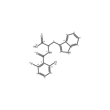 O=C(NC(Cc1c[nH]c2ccccc12)C(=O)O)c1c(F)cccc1Cl